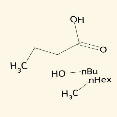 CCCC(=O)O.CCCCCCC.CCCCO